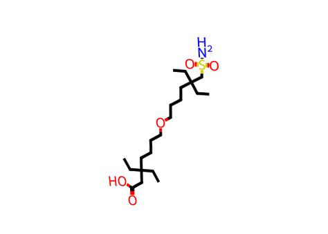 CCC(CC)(CCCCOCCCCC(CC)(CC)CS(N)(=O)=O)CC(=O)O